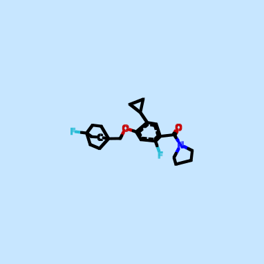 O=C(c1cc(C2CC2)c(OCC23CCC(F)(CC2)CC3)cc1F)N1CCCC1